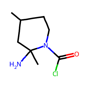 CC1CCN(C(=O)Cl)C(C)(N)C1